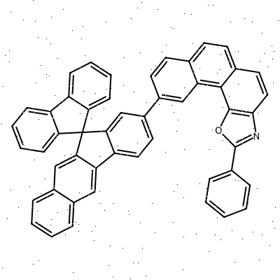 c1ccc(-c2nc3ccc4ccc5ccc(-c6ccc7c(c6)C6(c8ccccc8-c8ccccc86)c6cc8ccccc8cc6-7)cc5c4c3o2)cc1